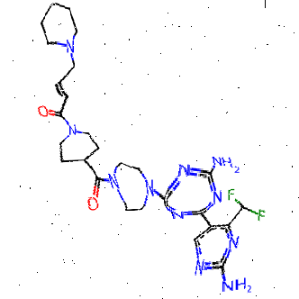 Nc1nc(-c2cnc(N)nc2C(F)F)nc(N2CCN(C(=O)C3CCN(C(=O)/C=C/CN4CCCCC4)CC3)CC2)n1